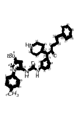 Cc1ccc(-n2nc(C(C)(C)C)cc2NC(=O)Nc2cccc(C(C(=O)CCCc3ccccc3)C3CCNCC3)c2)cc1